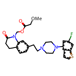 COCC(=O)OCN1C(=O)CCc2ccc(CCN3CCN(c4cc(F)cc5sccc45)CC3)cc21